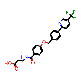 O=C(O)CCNC(=O)c1ccc(OCc2ccc(-c3ccc(C(F)(F)F)cn3)cc2)cc1